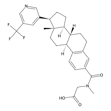 CN(CC(=O)O)C(=O)c1ccc2c(c1)CC[C@@H]1[C@@H]2CC[C@]2(C)[C@@H](c3cncc(C(F)(F)F)c3)CC[C@@H]12